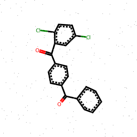 O=C(c1ccccc1)c1ccc(C(=O)c2cc(Cl)ccc2Cl)cc1